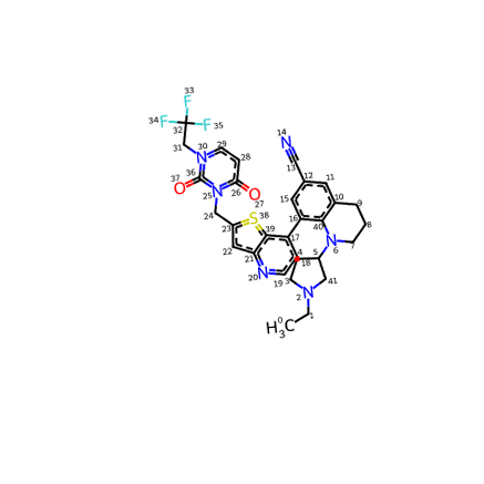 CCN1CCC(N2CCCc3cc(C#N)cc(-c4ccnc5cc(Cn6c(=O)ccn(CC(F)(F)F)c6=O)sc45)c32)C1